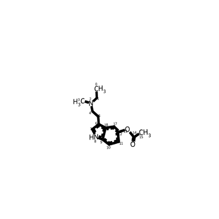 CCN(C)CCc1c[nH]c2ccc(OC(C)=O)cc12